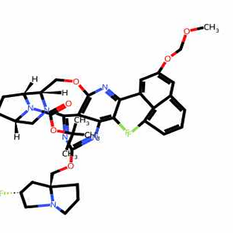 COCOc1cc(-c2nc3c4c(nc(OC[C@@]56CCCN5C[C@H](F)C6)nc4c2F)N2C[C@@H]4CC[C@H]([C@@H]2CO3)N4C(=O)OC(C)(C)C)c2c(F)cccc2c1